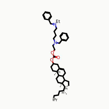 CCN(CCCCN(CCOC(=O)OC1CC[C@@]2(C)C(=CCC3C2CC[C@@]2(C)C3CC[C@@H]2[C@H](C)CCCC(C)C)C1)Cc1ccccc1)Cc1ccccc1